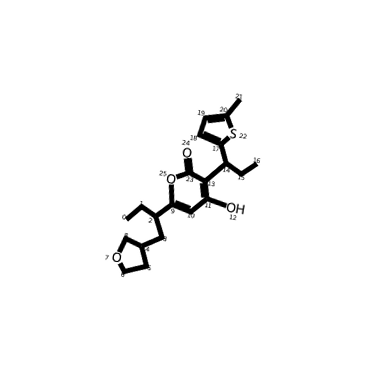 CCC(CC1CCOC1)c1cc(O)c(C(CC)c2ccc(C)s2)c(=O)o1